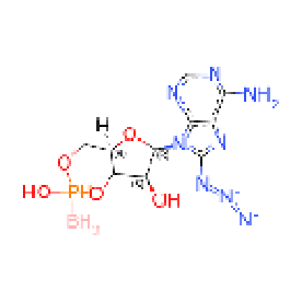 B[PH]1(O)OC[C@H]2O[C@@H](n3c(N=[N+]=[N-])nc4c(N)ncnc43)[C@@H](O)C2O1